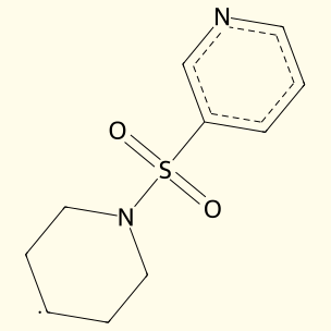 O=S(=O)(c1cccnc1)N1CC[CH]CC1